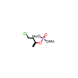 C=C(CCCl)OP(=O)(OC)OC